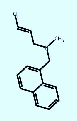 CN(CC=CCl)Cc1cccc2ccccc12